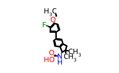 CCOc1ccc(-c2ccc3c(c2)CC(C)(C)[C@H]3NC(=O)O)cc1F